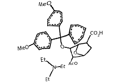 CCN(CC)CC.COc1ccc(C(OC2C(OC(C)=O)C3CC(C(=O)O)C2O3)(c2ccccc2)c2ccc(OC)cc2)cc1